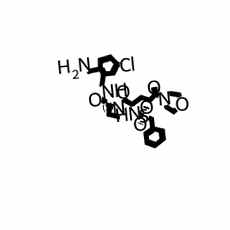 NCc1ccc(Cl)cc1CNC(=O)[C@@H]1CCN1C(=O)C(CCC(=O)N1CCOCC1)NS(=O)(=O)Cc1ccccc1